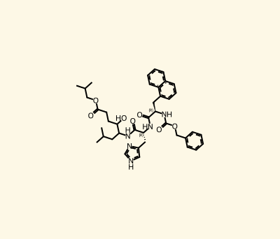 CC(C)COC(=O)CCC(O)C(CC(C)C)NC(=O)[C@@H](Cc1c[nH]cn1)NC(=O)[C@@H](Cc1cccc2ccccc12)NC(=O)OCc1ccccc1